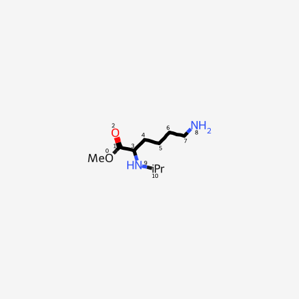 COC(=O)C(CCCCN)NC(C)C